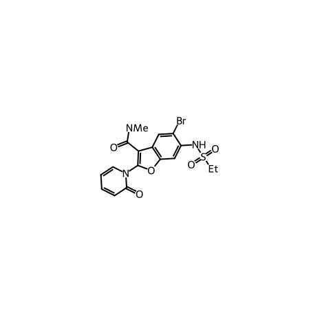 CCS(=O)(=O)Nc1cc2oc(-n3ccccc3=O)c(C(=O)NC)c2cc1Br